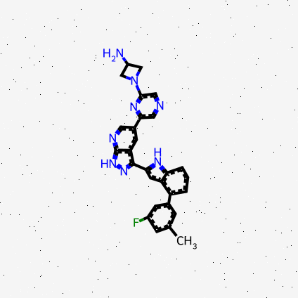 Cc1cc(F)cc(-c2cccc3[nH]c(-c4n[nH]c5ncc(-c6cncc(N7CC(N)C7)n6)cc45)cc23)c1